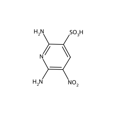 Nc1nc(N)c(S(=O)(=O)O)cc1[N+](=O)[O-]